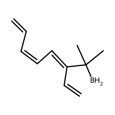 BC(C)(C)/C(C=C)=C/C=C\C=C